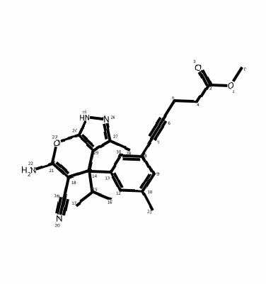 COC(=O)CCC#Cc1cc(C)cc(C2(C(C)C)C(C#N)=C(N)Oc3[nH]nc(C)c32)c1